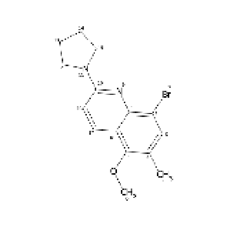 COc1c(C)cc(Br)c2nc(N3CCCC3)ccc12